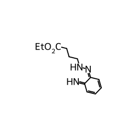 CCOC(=O)CCCN/N=C1/C=CC=CC1=N